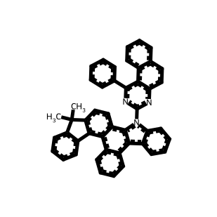 CC1(C)c2ccccc2-c2c1ccc1c2c2ccccc2c2c3ccccc3n(-c3nc(-c4ccccc4)c4c(ccc5ccccc54)n3)c12